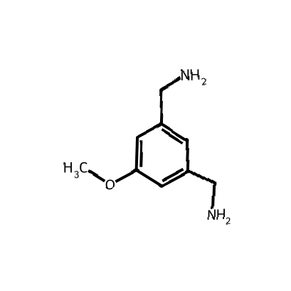 COc1cc(CN)cc(CN)c1